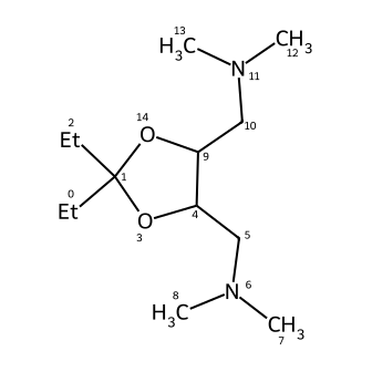 CCC1(CC)OC(CN(C)C)C(CN(C)C)O1